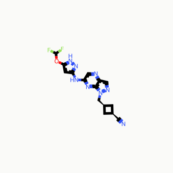 N#C[C@H]1C[C@@H](Cn2ncc3ncc(Nc4cc(OC(F)F)[nH]n4)nc32)C1